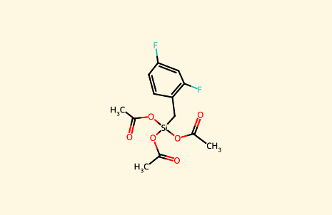 CC(=O)O[Si](Cc1ccc(F)cc1F)(OC(C)=O)OC(C)=O